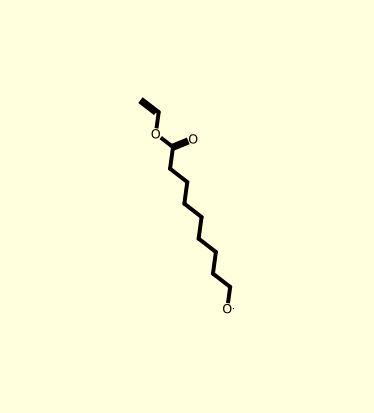 C=COC(=O)CCCCCCCC[O]